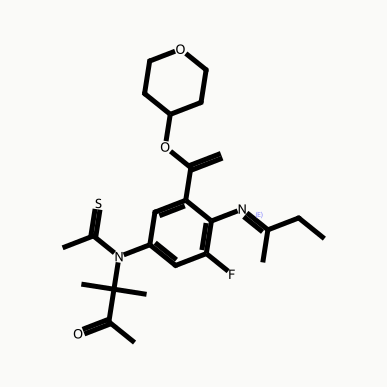 C=C(OC1CCOCC1)c1cc(N(C(C)=S)C(C)(C)C(C)=O)cc(F)c1/N=C(\C)CC